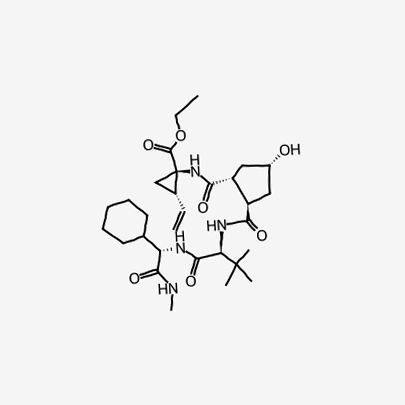 C=C[C@@H]1C[C@]1(NC(=O)[C@@H]1C[C@H](O)C[C@H]1C(=O)N[C@H](C(=O)N[C@H](C(=O)NC)C1CCCCC1)C(C)(C)C)C(=O)OCC